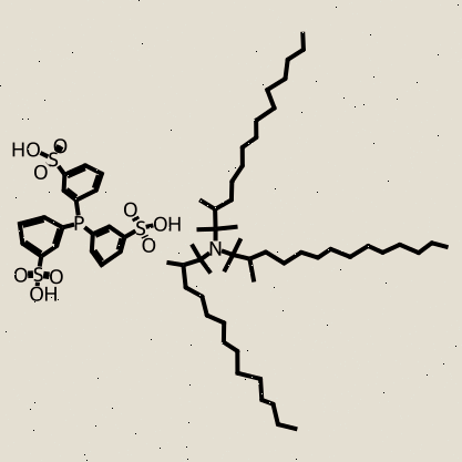 CCCCCCCCCCCCC(C)C(C)(C)N(C(C)(C)C(C)CCCCCCCCCCCC)C(C)(C)C(C)CCCCCCCCCCCC.O=S(=O)(O)c1cccc(P(c2cccc(S(=O)(=O)O)c2)c2cccc(S(=O)(=O)O)c2)c1